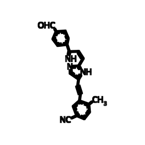 Cc1ccc(C#N)cc1C#Cc1cnc(/C=C\C(=N)c2ccc(C=O)cc2)[nH]1